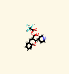 O=C(OC(=O)C(F)(F)F)C1=Cc2ccccc2OC1c1ccncc1